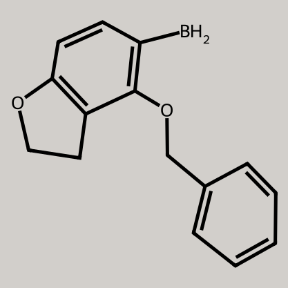 Bc1ccc2c(c1OCc1ccccc1)CCO2